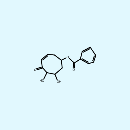 O=C(OC1CC=CC(=O)C(O)C(O)C1)c1ccccc1